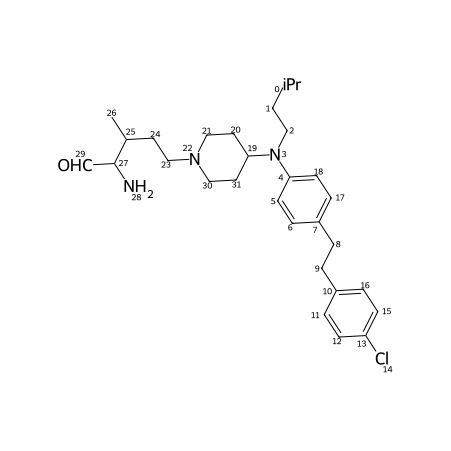 CC(C)CCN(c1ccc(CCc2ccc(Cl)cc2)cc1)C1CCN(CCC(C)C(N)C=O)CC1